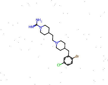 N=C(N)N1CCC(CCN2CCC(Cc3cc(Cl)ccc3Br)CC2)CC1